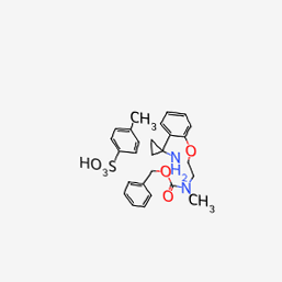 CN(CCOc1ccccc1C1(N)CC1)C(=O)OCc1ccccc1.Cc1ccc(S(=O)(=O)O)cc1